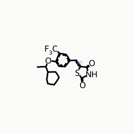 CC(Oc1ccc(/C=C2\SC(=O)NC2=O)cc1C(F)(F)F)C1CCCCC1